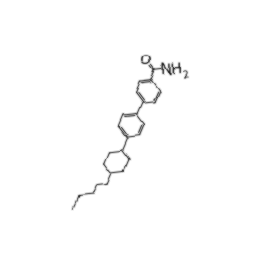 CCCCCC1CCC(c2ccc(-c3ccc(C(N)=O)cc3)cc2)CC1